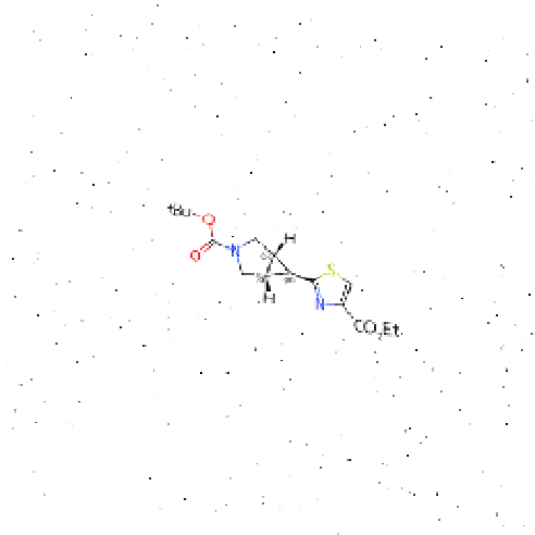 CCOC(=O)c1csc([C@H]2[C@@H]3CN(C(=O)OC(C)(C)C)C[C@@H]32)n1